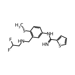 CSc1ccc(NC(=N)c2cccs2)cc1CNCC(F)F